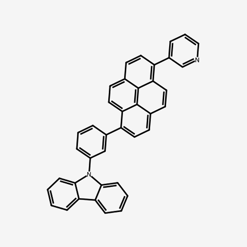 c1cncc(-c2ccc3ccc4c(-c5cccc(-n6c7ccccc7c7ccccc76)c5)ccc5ccc2c3c54)c1